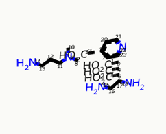 CC(=O)O.CC(=O)O.CC(=O)O.CC(=O)O.CN(C)CCCN.NCCN.c1ccncc1